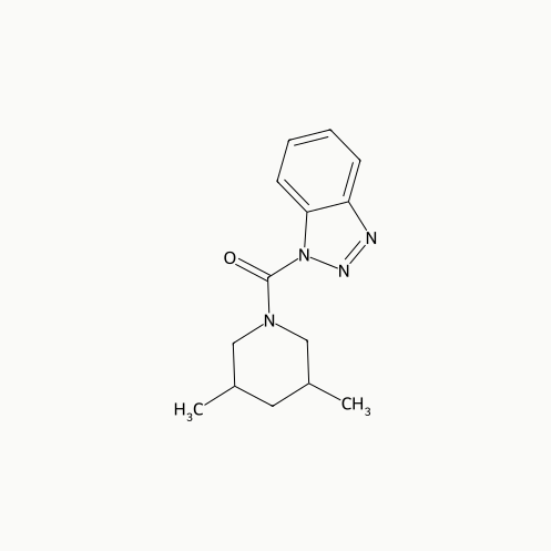 CC1CC(C)CN(C(=O)n2nnc3ccccc32)C1